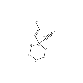 C/C=C/C1(C#N)CCCCC1